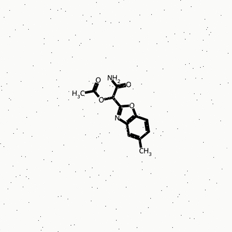 CC(=O)OC(C(N)=O)c1nc2cc(C)ccc2o1